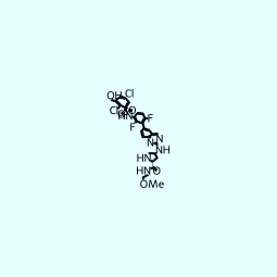 COCCNC(=O)[C@H]1C[C@H](Nc2ncc3cc(-c4c(F)ccc(NS(=O)(=O)c5cc(Cl)cc(CO)c5Cl)c4F)ccc3n2)CN1